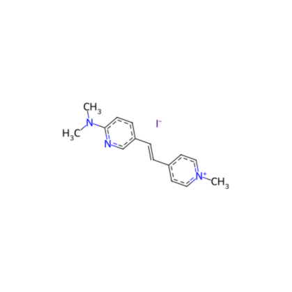 CN(C)c1ccc(/C=C/c2cc[n+](C)cc2)cn1.[I-]